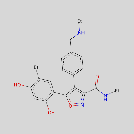 CCNCc1ccc(-c2c(C(=O)NCC)noc2-c2cc(CC)c(O)cc2O)cc1